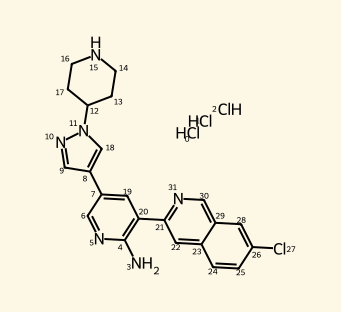 Cl.Cl.Cl.Nc1ncc(-c2cnn(C3CCNCC3)c2)cc1-c1cc2ccc(Cl)cc2cn1